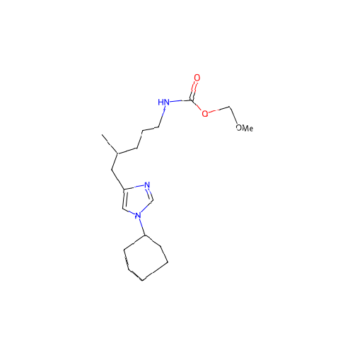 COCOC(=O)NCCCC(C)Cc1cn(C2CCCCC2)cn1